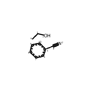 CCO.N#Cc1ccccc1